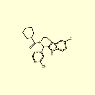 O=C(C1CCCCC1)N1CCc2c([nH]c3ccc(Cl)cc23)C1c1cccc(O)c1